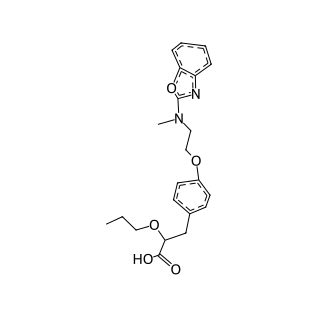 CCCOC(Cc1ccc(OCCN(C)c2nc3ccccc3o2)cc1)C(=O)O